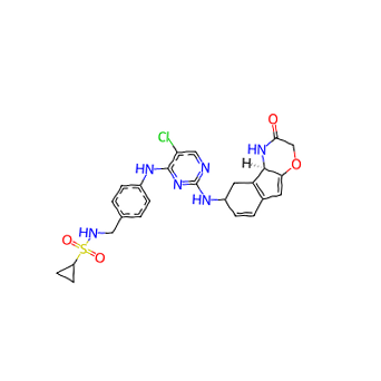 O=C1COC2=CC3=C(CC(Nc4ncc(Cl)c(Nc5ccc(CNS(=O)(=O)C6CC6)cc5)n4)C=C3)[C@H]2N1